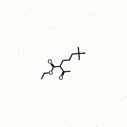 CCOC(=O)C(CCCC(C)(C)C)C(C)=O